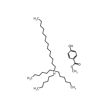 CCCCCCCCCCCCCC[PH](CCCCCC)(CCCCCC)CCCCCC.COC(=O)c1ccc(O)cc1